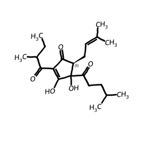 CCC(C)C(=O)C1=C(O)C(O)(C(=O)CCC(C)C)[C@H](CC=C(C)C)C1=O